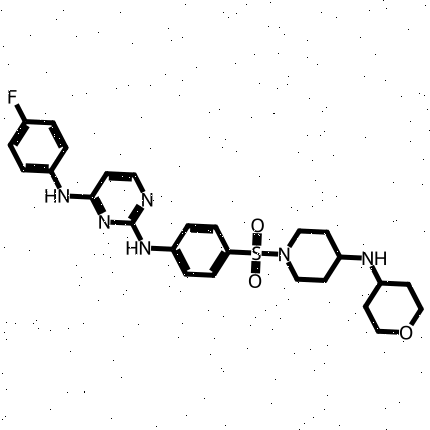 O=S(=O)(c1ccc(Nc2nccc(Nc3ccc(F)cc3)n2)cc1)N1CCC(NC2CCOCC2)CC1